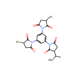 CCCCC(C)C1CC(=O)N(c2cc(N3C(=O)CC(C(C)C)C3=O)cc(N3C(=O)CC(C(C)C)C3=O)c2)C1=O